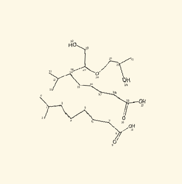 CC(C)CCCCCC(=O)O.CC(C)CCCCCC(=O)O.CC(O)COC(C)CO